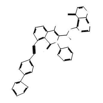 C[C@H](Nc1ncnc2[nH]ccc(=O)c12)c1c(Cl)c2cccc(C#Cc3ccc(-c4ccccc4)cc3)c2c(=O)n1-c1ccccc1